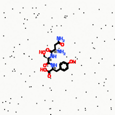 NC(=O)C[C@H](N)C(=O)N[C@@H](CO)C(=O)N[C@@H](Cc1ccc(O)cc1)C(=O)O